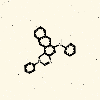 C1=Nc2cc(Nc3ccccc3)c3cc4ccccc4cc3c2CN1c1ccccc1